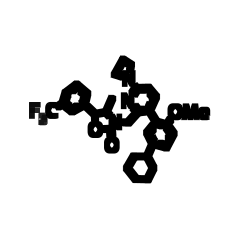 COc1ccc(C2CCCCC2)cc1-c1ccc(N2CCC2)nc1CN1C(=O)OC(c2cccc(C(F)(F)F)c2)C1C